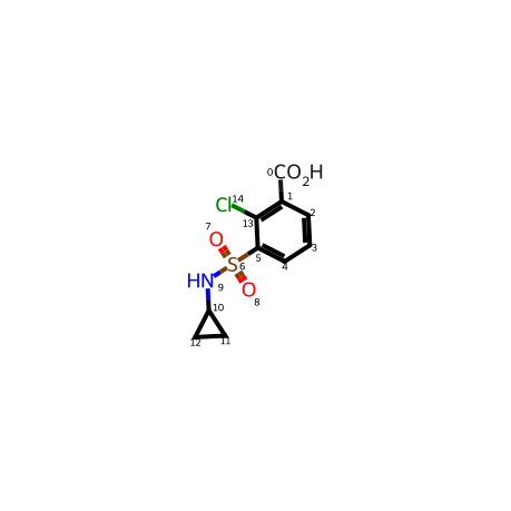 O=C(O)c1cccc(S(=O)(=O)NC2CC2)c1Cl